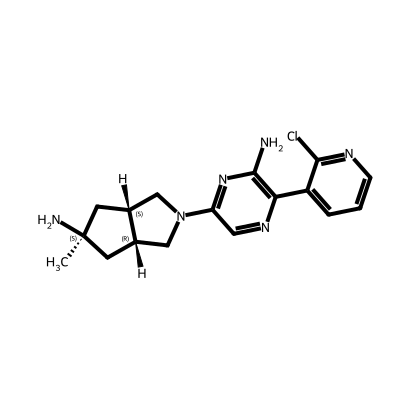 C[C@@]1(N)C[C@H]2CN(c3cnc(-c4cccnc4Cl)c(N)n3)C[C@H]2C1